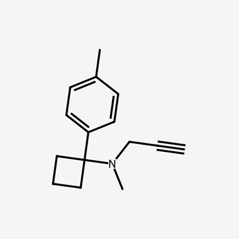 C#CCN(C)C1(c2ccc(C)cc2)CCC1